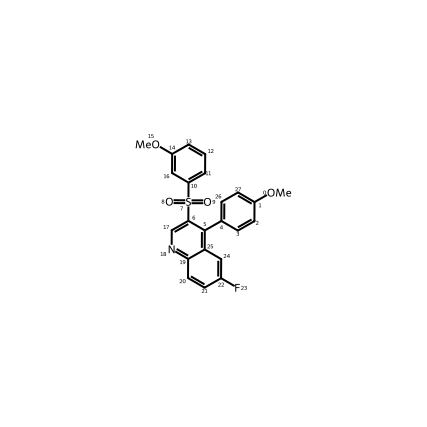 COc1ccc(-c2c(S(=O)(=O)c3cccc(OC)c3)cnc3ccc(F)cc23)cc1